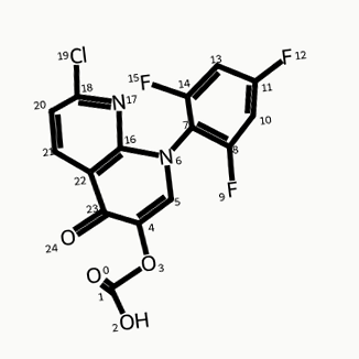 O=C(O)Oc1cn(-c2c(F)cc(F)cc2F)c2nc(Cl)ccc2c1=O